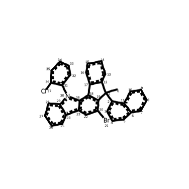 CC1(c2cccc3ccccc23)c2ccccc2-c2c1c(Br)cc1c3ccccc3n(-c3ccccc3Cl)c21